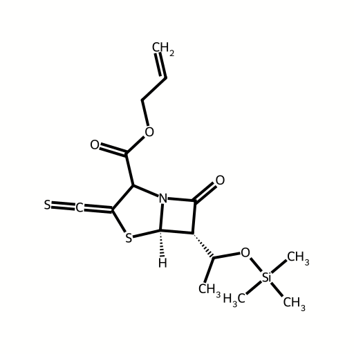 C=CCOC(=O)C1C(=C=S)S[C@@H]2[C@@H](C(C)O[Si](C)(C)C)C(=O)N12